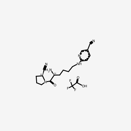 N#Cc1ccc(NCCCC[C@H](N)C(=O)N2CCC[C@H]2C#N)nc1.O=C(O)C(F)(F)F